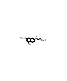 O=S(=O)(O)CCNc1ccc2c(O)cc(S(=O)(=O)O)cc2c1